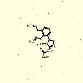 C=CCc1cccc(C2CN=C(NC(=O)OC)N2CC)c1CC=C